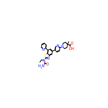 CCN(C(N)=O)c1nc2cc(-c3ccc(N4CCC(C)(C(=O)O)CC4)nc3)cc(-c3ccccn3)c2s1